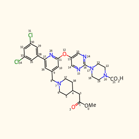 COC(=O)CC1CCN(Cc2cc(Oc3cnc(N4CCN(C(=O)O)CC4)nc3)nc(-c3cc(Cl)cc(Cl)c3)c2)CC1